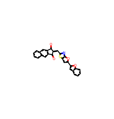 O=C1C(=Cc2nc3oc(-c4cc5ccccc5o4)cc3s2)C(=O)c2cc3ccccc3cc21